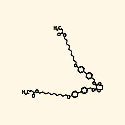 C=CC(=O)OCCCCCCCCCCOc1ccc(-c2ccc(CO[C@H]3OCCO[C@@H]3OCc3ccc(-c4ccc(OCCCCCCCCCCOC(=O)C=C)cc4)cc3)cc2)cc1